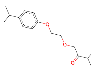 CC(C)C(=O)COCCOc1ccc(C(C)C)cc1